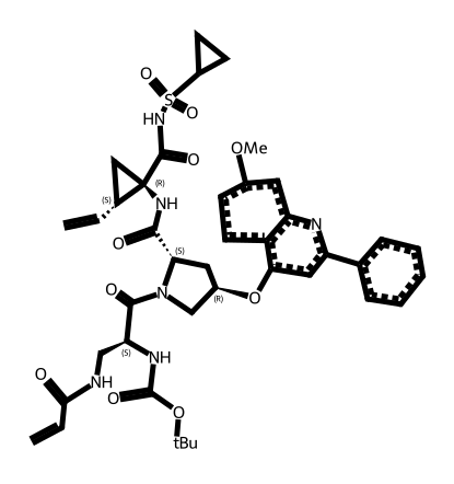 C=CC(=O)NC[C@H](NC(=O)OC(C)(C)C)C(=O)N1C[C@H](Oc2cc(-c3ccccc3)nc3cc(OC)ccc23)C[C@H]1C(=O)N[C@]1(C(=O)NS(=O)(=O)C2CC2)C[C@H]1C=C